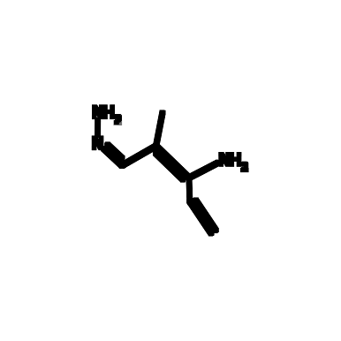 C=C/C(N)=C(C)\C=N/N